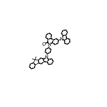 CC1(C)c2ccccc2-c2cc3c4ccccc4n(-c4ccc(-n5c(=O)c6ccccc6c6cc(-n7c8ccccc8c8ccccc87)ccc65)cc4)c3cc21